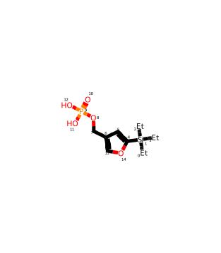 CC[Si](CC)(CC)c1cc(COP(=O)(O)O)co1